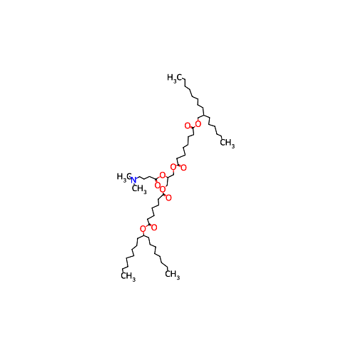 CCCCCCCCC(CCCCCC)COC(=O)CCCCCCC(=O)OCC(COC(=O)CCCCCC(=O)OC(CCCCCCCC)CCCCCCCC)OC(=O)CCCN(C)C